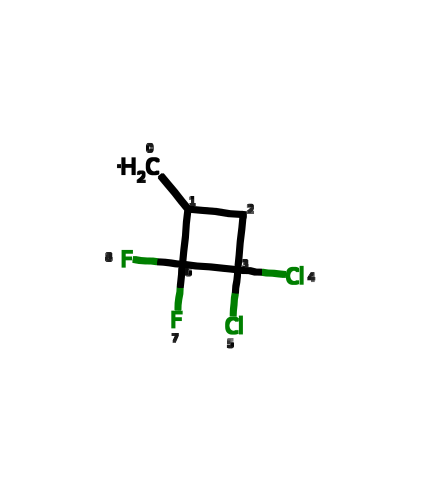 [CH2]C1CC(Cl)(Cl)C1(F)F